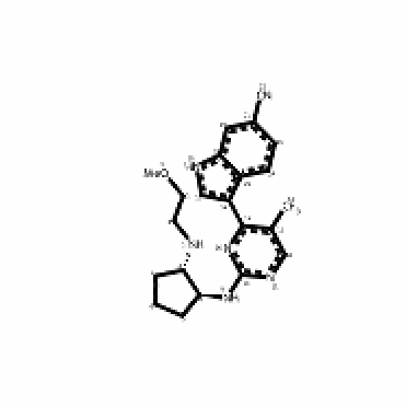 COCCN[C@H]1CCC[C@@H]1Nc1ncc(C(F)(F)F)c(-c2c[nH]c3cc(C#N)ccc23)n1